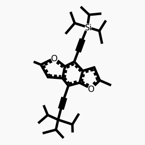 Cc1cc2c(C#C[Si](C(C)C)(C(C)C)C(C)C)c3oc(C)cc3c(C#CC(C(C)C)(C(C)C)C(C)C)c2o1